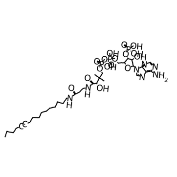 CCCCCCCCCCCCCCCCNC(=O)CCNC(=O)C(O)C(C)(C)COP(=O)(O)OP(=O)(O)OCC1OC(n2cnc3c(N)ncnc32)C(O)C1OP(=O)(O)O